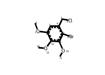 COc1cc(CCl)c(Br)c(OC)c1OC